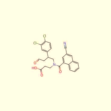 N#Cc1cc(C(=O)N(CCC(=O)O)CC(CC=O)c2ccc(Cl)c(Cl)c2)c2ccccc2c1